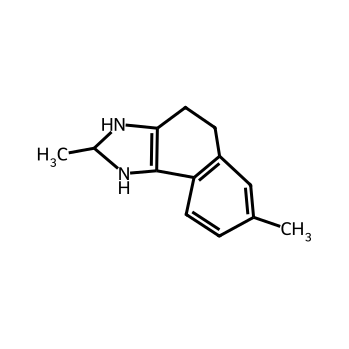 Cc1ccc2c(c1)CCC1=C2NC(C)N1